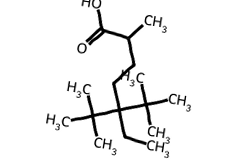 CCC(CCC(C)C(=O)O)(C(C)(C)C)C(C)(C)C